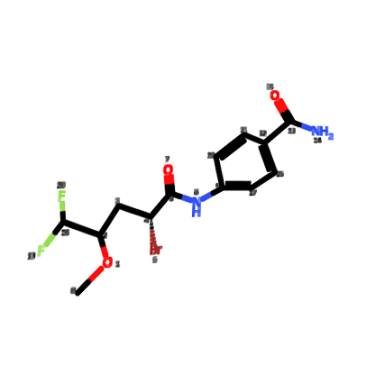 COC(C[C@@H](Br)C(=O)Nc1ccc(C(N)=O)cc1)C(F)F